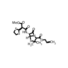 C=CCOC(=O)C1N2C(=O)[C@@H](NC(=O)C(C(=O)OC)=C3SCCS3)[C@H]2SC1(C)C